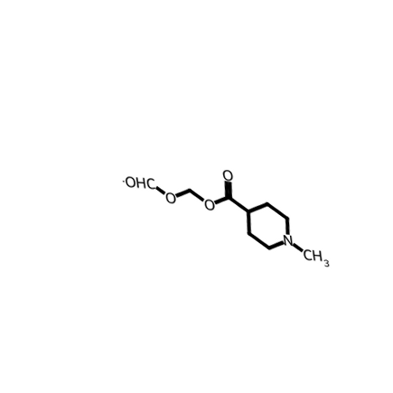 CN1CCC(C(=O)OCO[C]=O)CC1